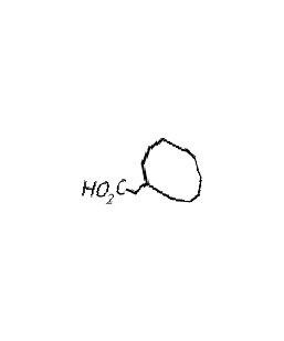 O=C(O)CC1CCCCCCCCC1